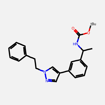 CC(NC(=O)OC(C)(C)C)c1cccc(-c2cnn(CCc3ccccc3)c2)c1